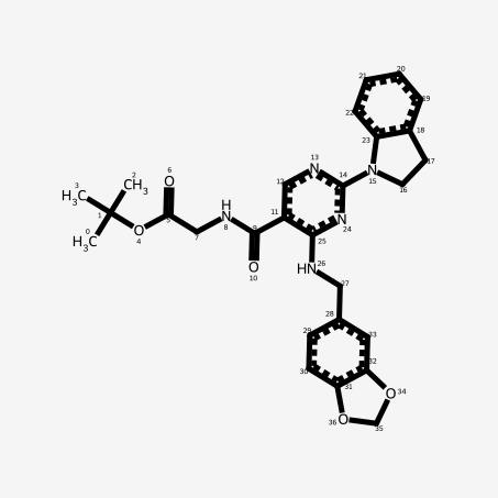 CC(C)(C)OC(=O)CNC(=O)c1cnc(N2CCc3ccccc32)nc1NCc1ccc2c(c1)OCO2